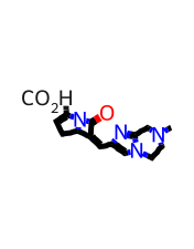 CN1CCn2cc(C=C3C(=O)N4C(C(=O)O)=CCC34)nc2C1